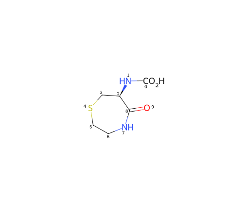 O=C(O)N[C@@H]1CSCCNC1=O